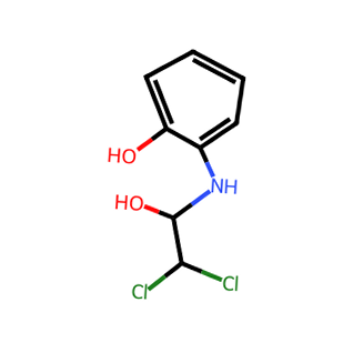 Oc1ccccc1NC(O)C(Cl)Cl